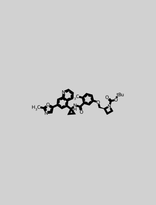 Cc1ncc(-c2cc(C3(NC(=O)c4cc(OC[C@@H]5CCN5C(=O)OC(C)(C)C)ccc4C)CC3)c3cccnc3c2)o1